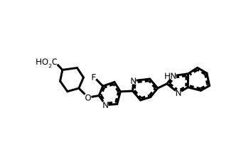 O=C(O)C1CCC(Oc2ncc(-c3ccc(-c4nc5ccccc5[nH]4)cn3)cc2F)CC1